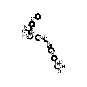 NC(=O)c1c(-c2ccc(Oc3ccccc3)cc2)nn2c1NCC[C@H]2C1CCN(C(=O)CCN2CC3(CCN(c4ccc(N5CCC(=O)NC5=O)cc4)CC3)C2)CC1